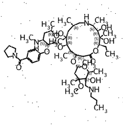 CCCNC[C@]1(O)[C@H](C)O[C@@H](O[C@H]2[C@H](C)[C@@H](O[C@@H]3O[C@H](C)C[C@H](NC)[C@H]3Oc3ccc(C(=O)N4CCCC4)cc3)[C@](C)(O)C[C@@H](C)CN[C@H](C)[C@@H](O)[C@](C)(O)[C@@H](CC)OC(=O)[C@@H]2C)C[C@@]1(C)OC